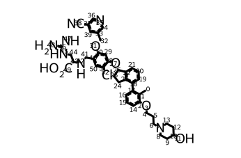 Cc1c(OCCCN2CCC(O)CC2)cccc1-c1cccc2c1CC[C@@H]2Oc1cc(OCc2cncc(C#N)c2)c(CN[C@@H](CNC(=N)N)C(=O)O)cc1Cl